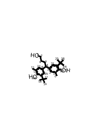 Cc1cc(C(CCCO)c2cc(C)c(O)c(C(C)(C)C)c2)cc(C(C)(C)C)c1O